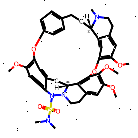 COc1cc2c3cc1Oc1ccc(cc1)CC[C@H]1c4cc(c(OC)cc4CCN1C)Oc1c(OC)c(OC)cc4c1[C@@H](C3)N(CC4)N2S(=O)(=O)N(C)C